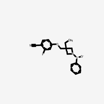 N#Cc1ccc(OCC2(CO)CN([S+]([O-])c3ccccc3)C2)cc1F